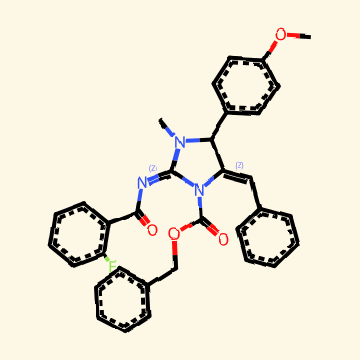 COc1ccc(C2/C(=C/c3ccccc3)N(C(=O)OCc3ccccc3)/C(=N\C(=O)c3ccccc3F)N2C)cc1